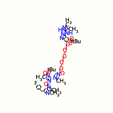 Cc1n[nH]c(Nc2ncnc3cc(OCCOCCOCCOCCOCC(=O)N4CCN(C[C@H]5CN(C(=O)OC(C)(C)C)[C@H](C)CN5CC(=O)N5CC(C)(C)c6ncc(Cc7ccc(F)cc7)cc65)C(C)C4)c(S(=O)(=O)C(C)(C)C)cc23)c1C